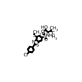 CSc1cc(S(=O)(=O)N[C@@H](C(=O)O)C(C)C)cc2sc(-c3ccc(Cl)cc3)nc12